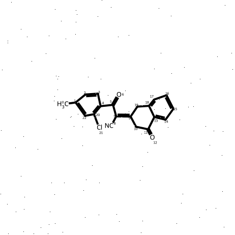 Cc1ccc(C(=O)/C(C#N)=C2/CC(=O)c3ccccc3C2)c(Cl)c1